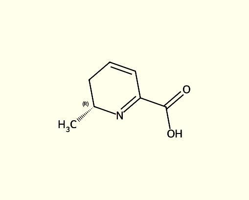 C[C@@H]1CC=CC(C(=O)O)=N1